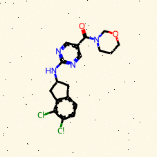 O=C(c1cnc(NC2Cc3ccc(Cl)c(Cl)c3C2)nc1)N1CCCOC1